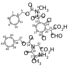 CN(C(=O)OCc1ccccc1)S(=O)(=O)c1ccc(Cl)c(C(C=O)C(=O)O)c1Cl.C[C@H](N)C(=O)N(CC(=O)O)C(=O)OCc1ccccc1